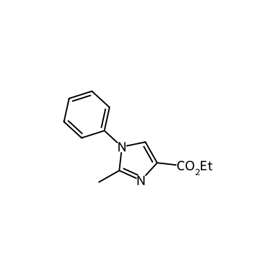 CCOC(=O)c1cn(-c2ccccc2)c(C)n1